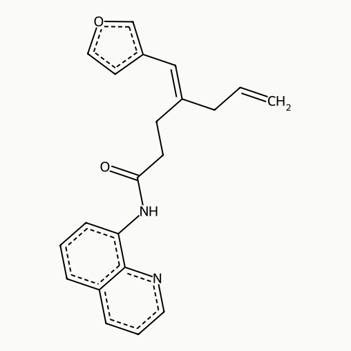 C=CC/C(=C/c1ccoc1)CCC(=O)Nc1cccc2cccnc12